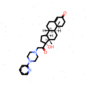 C[C@]12CCC(=O)C=C1CC[C@@H]1[C@@H]2CC[C@@]2(C)[C@H]1CC[C@]2(O)C(=O)CN1CCN(c2ccccn2)CC1